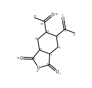 CC(=O)C1CC2C(=O)OC(=O)C2CC1C(C)=O